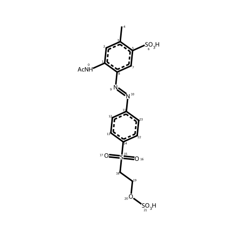 CC(=O)Nc1cc(C)c(S(=O)(=O)O)cc1N=Nc1ccc(S(=O)(=O)CCOS(=O)(=O)O)cc1